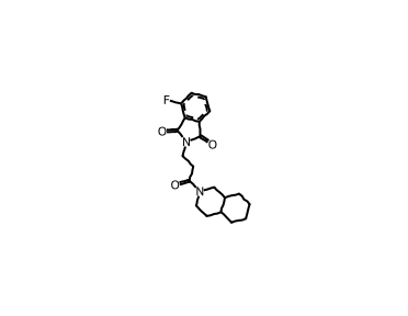 O=C(CCN1C(=O)c2cccc(F)c2C1=O)N1CCC2CCCCC2C1